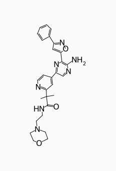 CC(C)(C(=O)NCCN1CCOCC1)c1cc(-c2cnc(N)c(-c3cc(-c4ccccc4)no3)n2)ccn1